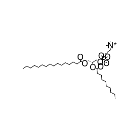 CCCCCCCCCCCCCCCC(=O)OC[C@H](COP(=O)([O-])OCC[N+](C)(C)C)OC(=O)CCCCCCCCC